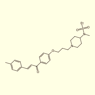 CCS(=O)(=O)N(C)C1CCN(CCCOc2ccc(C(=O)C=Cc3ccc(C)cc3)cc2)CC1